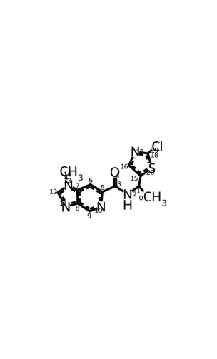 CC(NC(=O)c1cc2c(cn1)ncn2C)c1cnc(Cl)s1